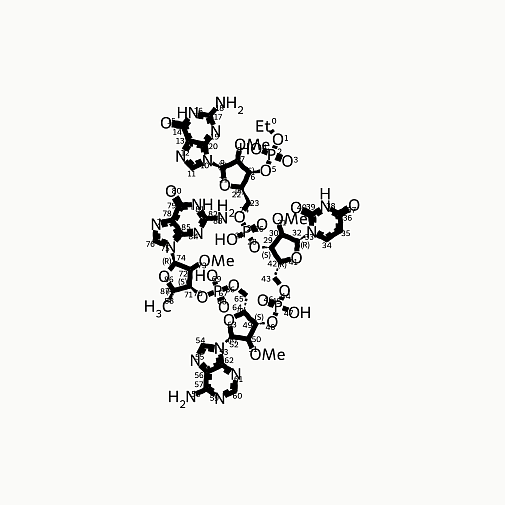 CCOP(=O)(O)O[C@@H]1C(OC)[C@H](n2cnc3c(=O)[nH]c(N)nc32)O[C@@H]1COP(=O)(O)O[C@@H]1C(OC)[C@H](n2ccc(=O)[nH]c2=O)O[C@@H]1COP(=O)(O)O[C@@H]1C(OC)[C@H](n2cnc3c(N)ncnc32)O[C@@H]1COP(=O)(O)O[C@@H]1C(OC)[C@H](n2cnc3c(=O)[nH]c(N)nc32)O[C@@H]1C